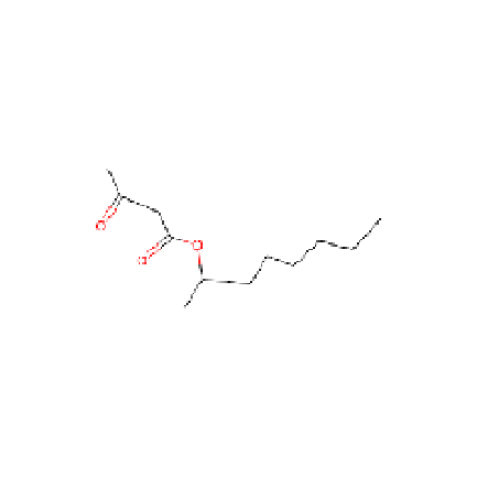 CCCCCCC(C)OC(=O)CC(C)=O